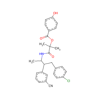 CC(NC(=O)C(C)(C)OC(=O)c1ccc(O)cc1)C(Cc1ccc(Cl)cc1)c1cccc(C#N)c1